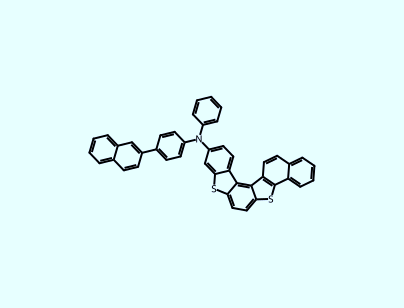 c1ccc(N(c2ccc(-c3ccc4ccccc4c3)cc2)c2ccc3c(c2)sc2ccc4sc5c6ccccc6ccc5c4c23)cc1